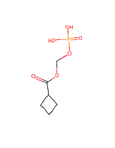 O=C(OCOP(=O)(O)O)C1CCC1